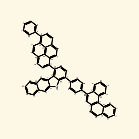 c1ccc(-c2ccc3ccc4c(-c5ccc(-c6ccc(-c7cc8ccc9ccccc9c8c8ccccc78)cc6)c6oc7cc8ccccc8cc7c56)ccc5ccc2c3c54)cc1